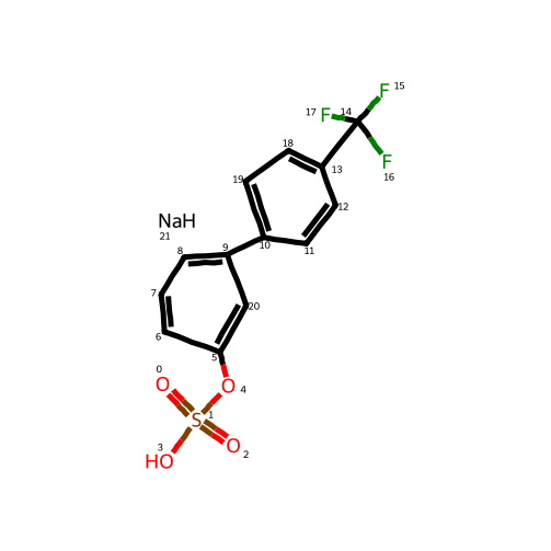 O=S(=O)(O)Oc1cccc(-c2ccc(C(F)(F)F)cc2)c1.[NaH]